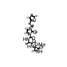 CO[C@]1(NC(=O)C(C)NC(=O)n2ccn(N=Cc3ccco3)c2=O)CNC1=O